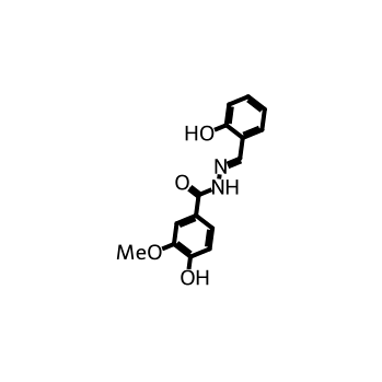 COc1cc(C(=O)NN=Cc2ccccc2O)ccc1O